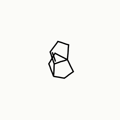 C1=C2C3CCC2(CC1)CC3